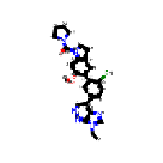 CCn1cnc2c(-c3ccc(F)c(-c4cc5ccn(C(=O)N6CCCC6)c5cc4OC)c3)cnnc21